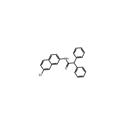 CCc1ccc2ccc(NC(=O)C(c3ccccc3)c3ccccc3)cc2c1